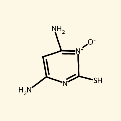 Nc1cc(N)[n+]([O-])c(S)n1